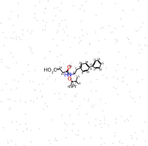 CCCC(=O)C(C)C[C@@H](Cc1ccc(-c2ccccc2)cc1)NC(=O)CCC(=O)O